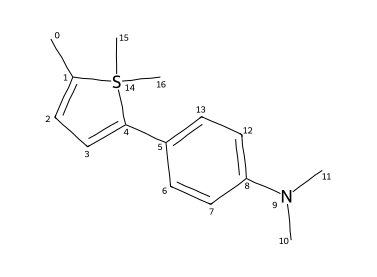 CC1=CC=C(c2ccc(N(C)C)cc2)S1(C)C